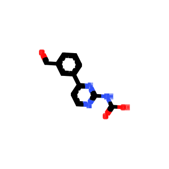 O=Cc1cccc(-c2ccnc(NC(=O)O)n2)c1